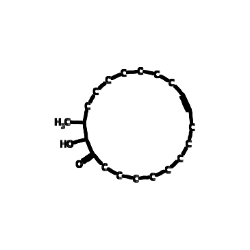 CC1CCCCCCC/C=C\CCCCCCCCC(=O)C1O